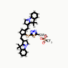 CSc1nnc(SC2=C(C=C3CC[N+]4=C3C(C)(C)c3ccccc34)CCC2=CC2=C3N(CC2)c2ccccc2C3(C)C)s1.O=S(=O)([O-])C(F)(F)F